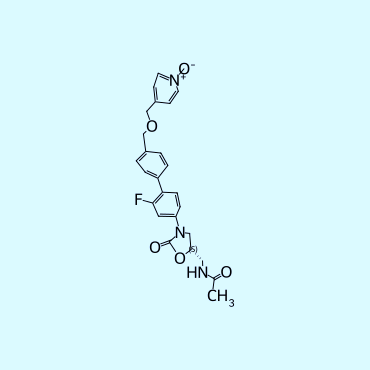 CC(=O)NC[C@H]1CN(c2ccc(-c3ccc(COCc4cc[n+]([O-])cc4)cc3)c(F)c2)C(=O)O1